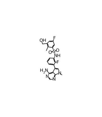 Cc1c(CO)cc(F)cc1S(=O)(=O)Nc1cccc(-c2cn(C)c3ncnc(N)c23)c1F